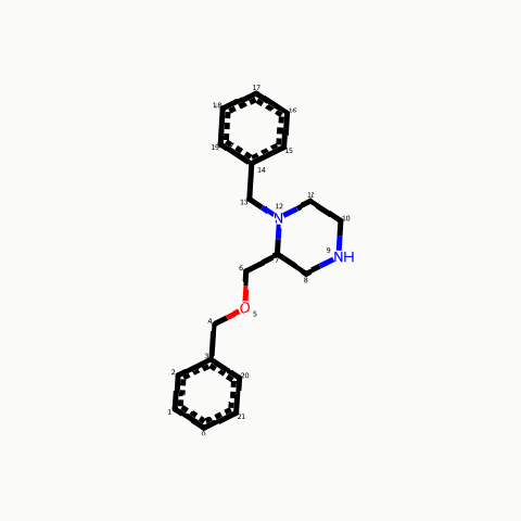 c1ccc(COCC2CNCCN2Cc2ccccc2)cc1